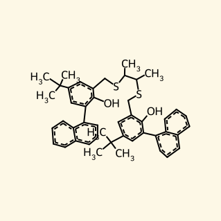 CC(SCc1cc(C(C)(C)C)cc(-c2cccc3ccccc23)c1O)C(C)SCc1cc(C(C)(C)C)cc(-c2cccc3ccccc23)c1O